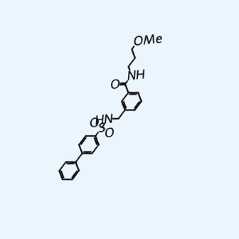 COCCCNC(=O)c1cccc(CNS(=O)(=O)c2ccc(-c3ccccc3)cc2)c1